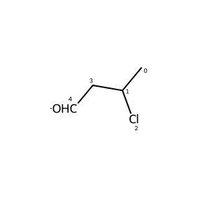 CC(Cl)C[C]=O